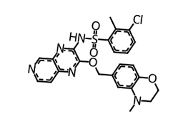 Cc1c(Cl)cccc1S(=O)(=O)Nc1nc2cnccc2nc1OCc1ccc2c(c1)N(C)CCO2